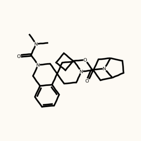 CN(C)C(=O)N1Cc2ccccc2C2(CCN(C3CC4CCC(C3)N4C(=O)OC3CCC3)CC2)C1